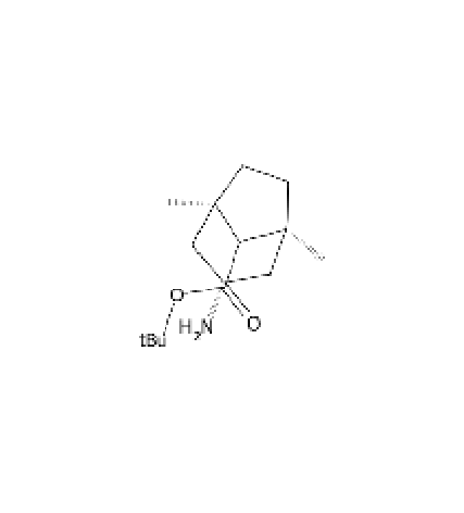 CC(C)(C)OC(=O)C1[C@@]2(C)CC[C@]1(C)C[C@@H](N)C2